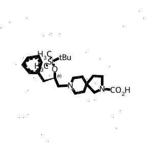 CC(C)(C)[Si](C)(C)O[C@H](Cc1ccccc1)CN1CCC2(CC1)CCN(C(=O)O)C2